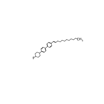 CCCCCCCCCCC=Cc1ccc(-c2ccc(C3CCC(F)CC3)cc2)cc1